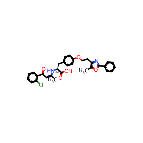 C/C(=C/C(=O)c1ccccc1Cl)N[C@@H](Cc1ccc(OCCc2nc(-c3ccccc3)oc2C)cc1)C(=O)O